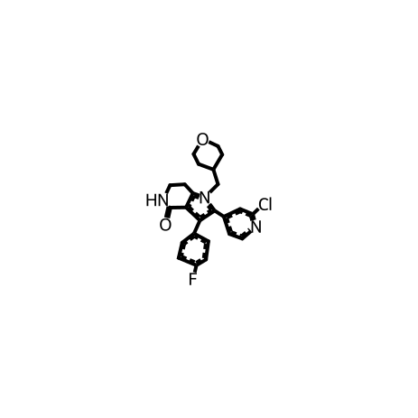 O=C1NCCc2c1c(-c1ccc(F)cc1)c(-c1ccnc(Cl)c1)n2CC1CCOCC1